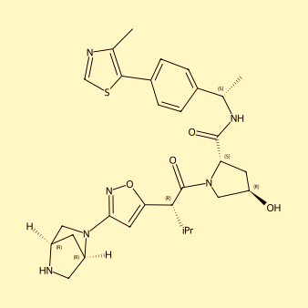 Cc1ncsc1-c1ccc([C@H](C)NC(=O)[C@@H]2C[C@@H](O)CN2C(=O)[C@@H](c2cc(N3C[C@H]4C[C@@H]3CN4)no2)C(C)C)cc1